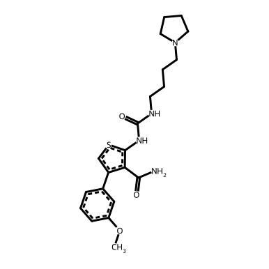 COc1cccc(-c2csc(NC(=O)NCCCCN3CCCC3)c2C(N)=O)c1